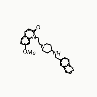 COc1ccc2ccc(=O)n(CCN3CCC(NCc4ccc5sccc5c4)CC3)c2c1